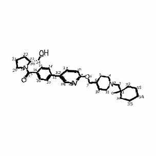 CC1(CN2CCC(COc3ccc(-c4ccc(C(=O)N5CCC[C@@H]5CO)cc4)cn3)CC2)CCCCC1